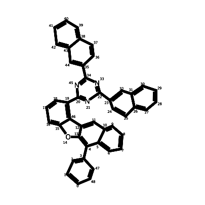 c1ccc(-c2c3ccccc3cc3c2oc2cccc(-c4nc(-c5ccc6ccccc6c5)nc(-c5ccc6ccccc6c5)n4)c23)cc1